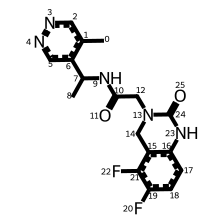 Cc1cnncc1C(C)NC(=O)CN1Cc2c(ccc(F)c2F)NC1=O